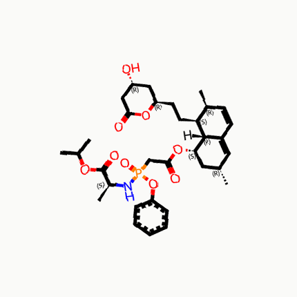 CC(C)OC(=O)[C@H](C)NP(=O)(CC(=O)O[C@H]1C[C@@H](C)C=C2C=C[C@H](C)[C@H](CC[C@@H]3C[C@@H](O)CC(=O)O3)[C@H]21)Oc1ccccc1